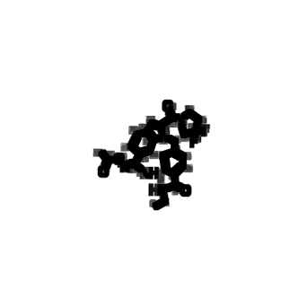 CCNC(=O)c1ccc(Cn2c(C(=O)N3CCC(F)(F)C3)cc3ccc(/C(N)=N\OC(C)=O)cc32)cc1